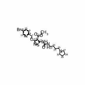 COC(=O)c1c(OCc2ccc(Br)cn2)nsc1NC(=O)NCCCCN1CCCC1